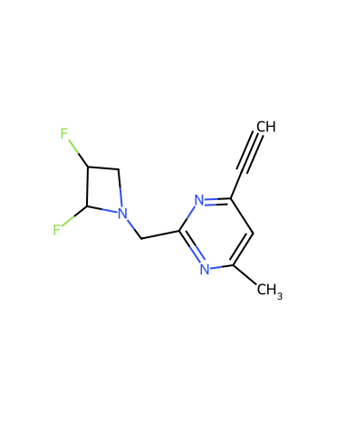 C#Cc1cc(C)nc(CN2CC(F)C2F)n1